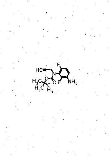 C#CCN(C(=O)OC(C)(C)C)c1c(F)ccc(N)c1F